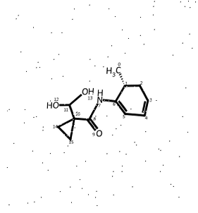 C[C@@H]1CC=CC=C1NC(=O)C1(C(O)O)CC1